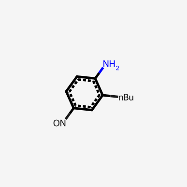 CCCCc1cc(N=O)ccc1N